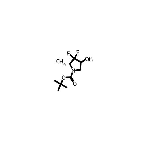 C.CC(C)(C)OC(=O)N1CC(O)C(F)(F)C1